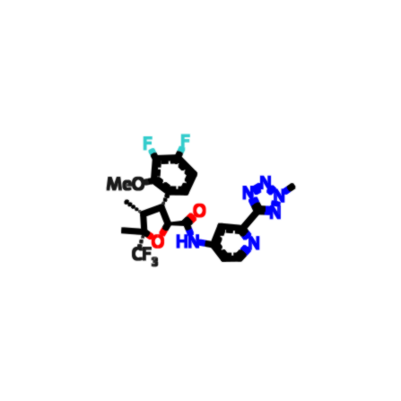 COc1c([C@@H]2[C@@H](C(=O)Nc3ccnc(-c4nnn(C)n4)c3)O[C@](C)(C(F)(F)F)[C@@H]2C)ccc(F)c1F